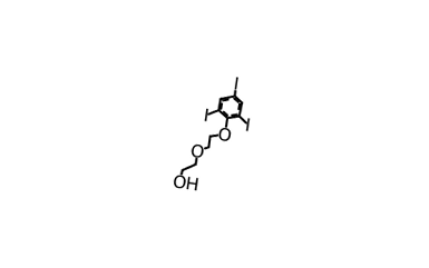 OCCOCCOc1c(I)cc(I)cc1I